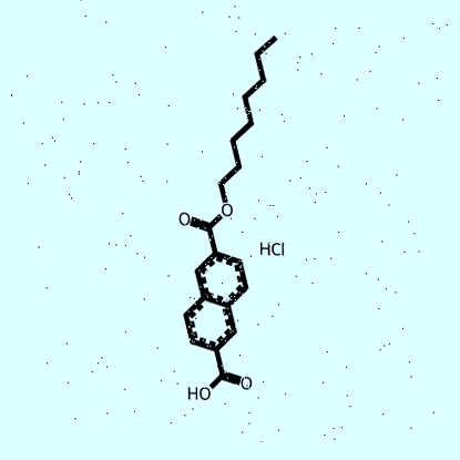 CCCCCCCCOC(=O)c1ccc2cc(C(=O)O)ccc2c1.Cl